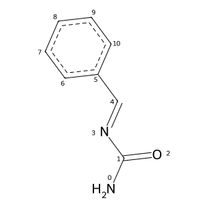 NC(=O)N=Cc1ccccc1